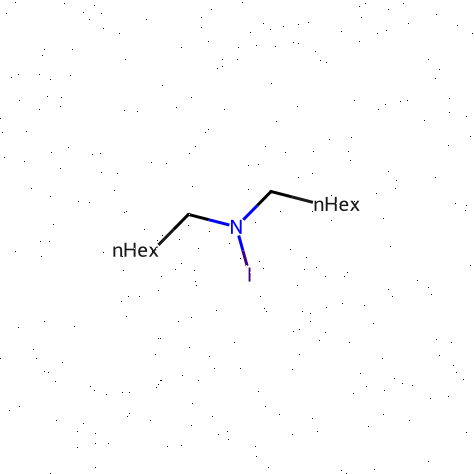 CCCCCCCN(I)CCCCCCC